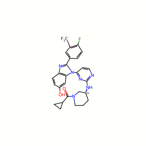 O=C(C1CC1)N1CCC[C@H](Nc2nccc(-n3c(-c4ccc(F)c(C(F)(F)F)c4)nc4ccc(O)cc43)n2)C1